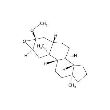 CO[C@@]12C[C@@H]3CC[C@H]4[C@@H]5CCC[C@@]5(C)CC[C@@H]4[C@@]3(C)C[C@H]1O2